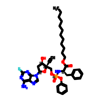 C#C[C@]1(CO[P@](=O)(N[C@@H](Cc2ccccc2)C(=O)OCCCCCCCCCCCC)Oc2ccccc2)O[C@@H](n2cnc3c(N)nc(F)nc32)C[C@@H]1O